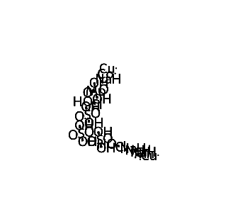 O=S(=O)(O)O.O=S(=O)(O)O.O=S(=O)(O)O.OCl.OCl.[Co].[Cu].[Cu].[Mn].[NaH].[NaH].[NaH].[NaH].[O]=[Mo](=[O])([OH])[OH]